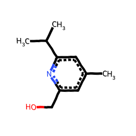 Cc1cc(CO)nc(C(C)C)c1